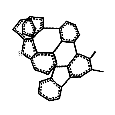 Cc1cc2c(c(-c3cccc(-c4ccccc4)c3-c3cccc4[se]c5ccccc5c34)c1C)Cc1ccccc1-2